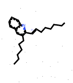 CCCCCC/C=C/c1nc2ccccc2cc1CCCCCC